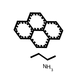 CCCC.N.c1cc2ccc3cccc4ccc(c1)c2c34